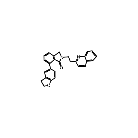 O=C1c2c(cccc2-c2ccc3c(c2)CCO3)CN1CCc1ccc2ccccc2n1